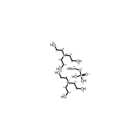 CCCCCCCCCOP(=O)(O)O.OCCN(CCO)CCO.OCCN(CCO)CCO